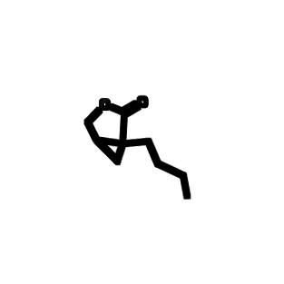 CCCCC12CC1COC2=O